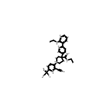 CCOC(=O)C1(c2ccc(-c3cccnc3OCC)nc2)CCN(c2ccc(C(F)(F)F)nc2C#N)CC1